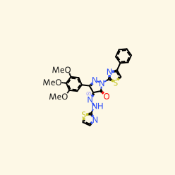 COc1cc(C2=NN(c3nc(-c4ccccc4)cs3)C(=O)/C2=N\Nc2nccs2)cc(OC)c1OC